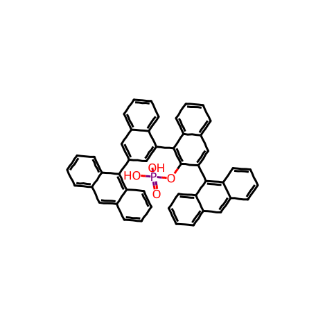 O=P(O)(O)Oc1c(-c2c3ccccc3cc3ccccc23)cc2ccccc2c1-c1cc(-c2c3ccccc3cc3ccccc23)cc2ccccc12